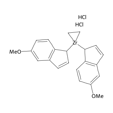 COc1ccc2c(c1)C=C[CH]2[Zr]1([CH]2C=Cc3cc(OC)ccc32)[CH2][CH2]1.Cl.Cl